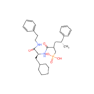 C[C@H](CC(CP(=O)(O)O)C(=O)N[C@@H](CC1CCCCC1)C(=O)NCCc1ccccc1)c1ccccc1